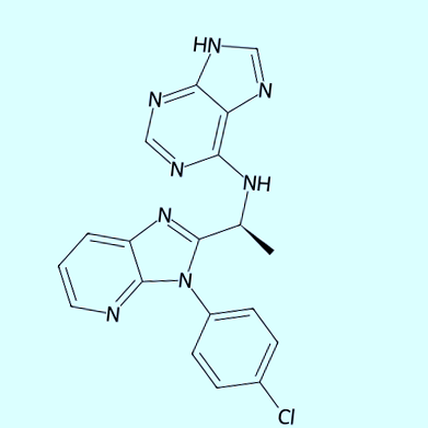 C[C@H](Nc1ncnc2[nH]cnc12)c1nc2cccnc2n1-c1ccc(Cl)cc1